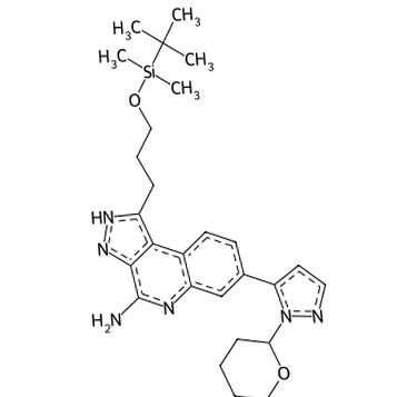 CC(C)(C)[Si](C)(C)OCCCc1[nH]nc2c(N)nc3cc(-c4ccnn4C4CCCCO4)ccc3c12